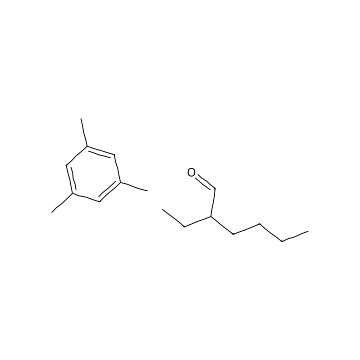 CCCCC(C=O)CC.Cc1cc(C)cc(C)c1